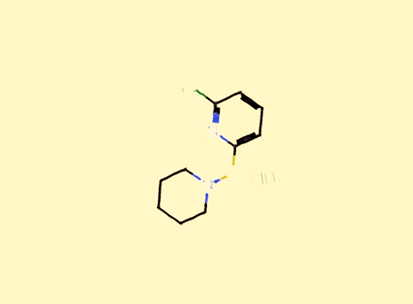 Cl.Clc1cccc(SN2CCCCC2)n1